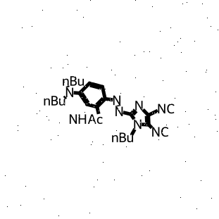 [C-]#[N+]c1nc(N=Nc2ccc(N(CCCC)CCCC)cc2NC(C)=O)n(CCCC)c1[N+]#[C-]